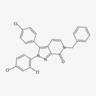 O=c1c2nn(-c3ccc(Cl)cc3Cl)c(-c3ccc(Cl)cc3)c2ccn1Cc1ccccc1